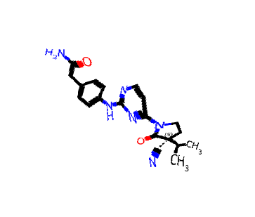 CC(C)[C@]1(C#N)CCN(c2ccnc(Nc3ccc(CC(N)=O)cc3)n2)C1=O